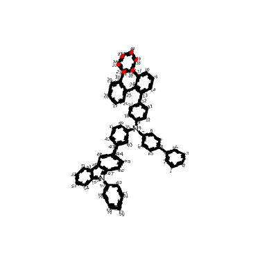 c1ccc(-c2ccc(N(c3ccc(-c4cccc(-c5ccccc5)c4-c4ccccc4-c4ccccc4)cc3)c3cccc(-c4ccc5c(c4)c4ccccc4n5-c4ccccc4)c3)cc2)cc1